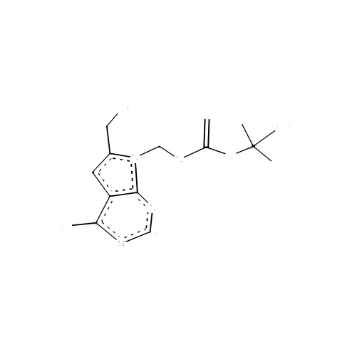 CC(C)(C)OC(=O)NCn1c(CO)cc2c(Cl)ncnc21